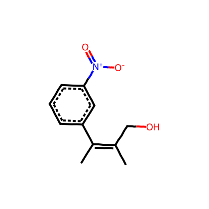 C/C(CO)=C(\C)c1cccc([N+](=O)[O-])c1